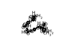 CC1=C(N)C(=O)C2=C(C1=O)N1CN(C(=O)OCc3ccc(SSC[C@H](NC(=O)CC[C@H](NC(=O)c4ccc(NCc5cnc6nc(N)[nH]c(=O)c6n5)cc4)C(=O)O)C(=O)O)cc3)[C@@H](C)C1[C@@H]2COC(N)=O